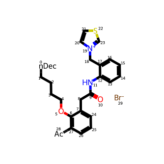 CCCCCCCCCCCCCCOc1c(CC(=O)Nc2ccccc2C[n+]2ccsc2)cccc1C(C)=O.[Br-]